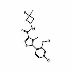 CCOc1cc(Cl)ccc1-c1onc(C(=O)NC2CC(F)(F)C2)c1C